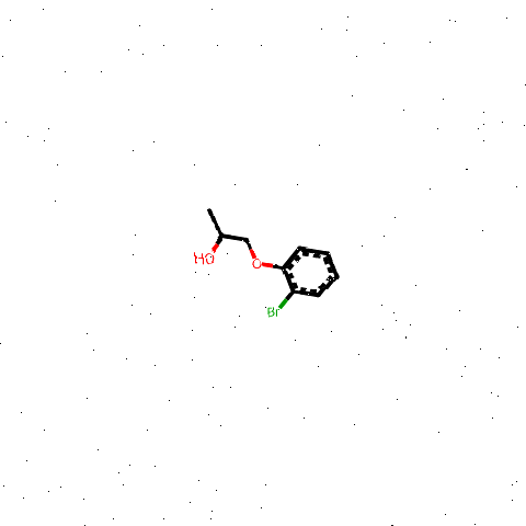 CC(O)COc1ccccc1Br